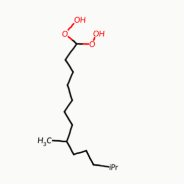 CC(C)CCCC(C)CCCCCCC(OO)OO